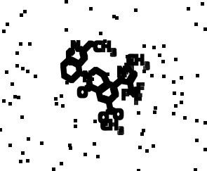 CCc1cc2c(cn1)CCC[C@@H]2N1CCc2c(cc(C(=O)OC)cc2-c2nn(C)cc2C(F)(F)F)C1=O